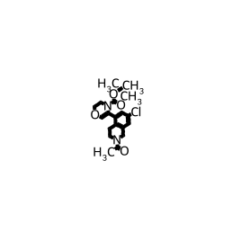 CC(=O)N1CCc2c(cc(Cl)cc2C2=COCCN2C(=O)OC(C)(C)C)C1